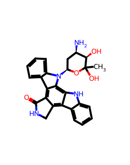 CC1(O)O[C@@H](n2c3ccccc3c3c4c(c5c6ccccc6[nH]c5c32)CNC4=O)C[C@@H](N)[C@H]1O